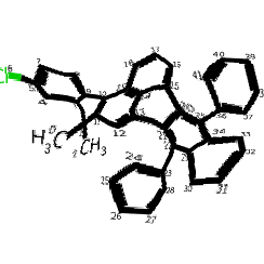 CC1(C)c2cc(Cl)ccc2-c2c1cc1c3c(cccc23)-c2c-1c(-c1ccccc1)c1ccccc1c2-c1ccccc1